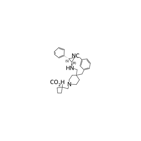 N#Cc1cccc(CC2(CN[C@@H]3C[C@H]3c3ccccc3)CCN(CC3(C(=O)O)CCC3)CC2)c1